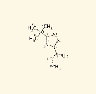 COC(=O)c1csc(C(C)(C)C)n1